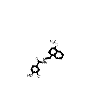 COc1ccc(C=NNC(=O)c2ccc(O)c(Cl)c2)c2ccccc12